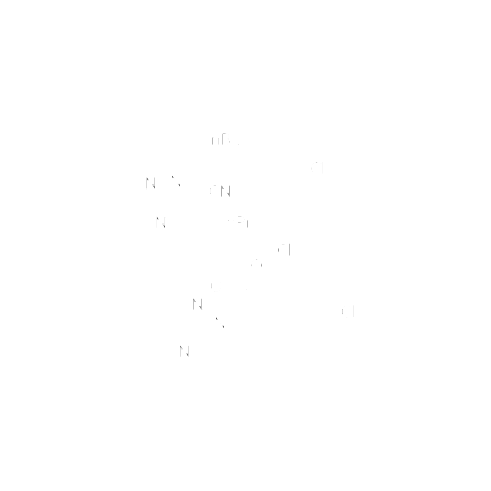 CCCC1COC(Cn2cncn2)(c2ccc(Cl)cc2Cl)O1.CCCCC(C#N)(Cn1cncn1)c1ccc(Cl)cc1